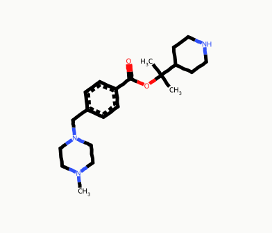 CN1CCN(Cc2ccc(C(=O)OC(C)(C)C3CCNCC3)cc2)CC1